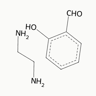 NCCN.O=Cc1ccccc1O